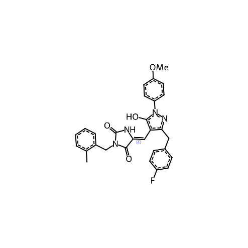 COc1ccc(-n2nc(Cc3ccc(F)cc3)c(/C=C3\NC(=O)N(Cc4ccccc4C)C3=O)c2O)cc1